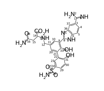 N=C(N)c1ccc2[nH]c(-c3cc(CNC(CC(N)=O)C(=O)O)cc(-c4cc(S(N)(=O)=O)ccc4O)c3O)nc2c1